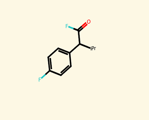 CC(C)C(C(=O)F)c1ccc(F)cc1